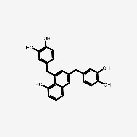 Oc1ccc(Cc2cc(Cc3ccc(O)c(O)c3)c3c(O)cccc3c2)cc1O